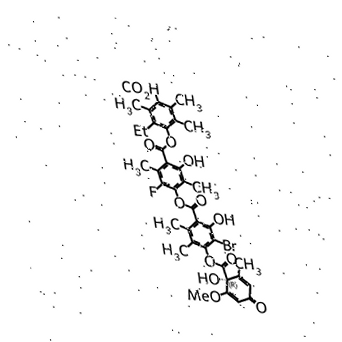 CCc1c(C)c(C(=O)O)c(C)c(C)c1OC(=O)c1c(C)c(F)c(OC(=O)c2c(C)c(C)c(OC(=O)[C@@]3(O)C(C)=CC(=O)C=C3OC)c(Br)c2O)c(C)c1O